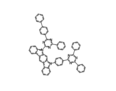 c1ccc(-c2ccc(-c3nc(-c4ccccc4)nc(-n4c5ccccc5c5cc6c7ccccc7n(-c7ccc(-c8nc(-c9ccccc9)nc(-c9ccccc9)n8)cc7)c6cc54)n3)cc2)cc1